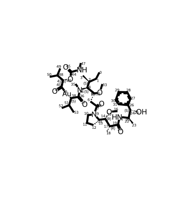 CC[C@H](C)[C@@H]([C@@H](CC(=O)N1CCC[C@H]1[C@H](OC)[C@@H](C)C(=O)N[C@H](C)[C@@H](O)c1ccccc1)OC)N(C)C(=O)[C@@H]([Au][C](=O)[C@@H](OC(=O)NC)C(C)C)C(C)C